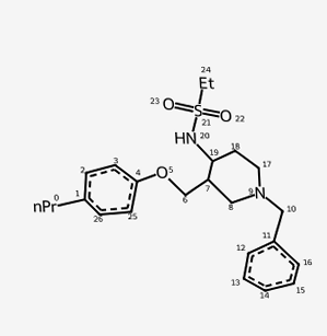 CCCc1ccc(OCC2CN(Cc3ccccc3)CCC2NS(=O)(=O)CC)cc1